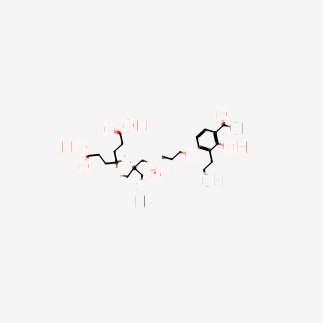 CCCc1c(OCCC[S+]([O-])CC2(CC)CSC(CCC(=O)O)(CCC(=O)O)S2)ccc(C(C)=O)c1O